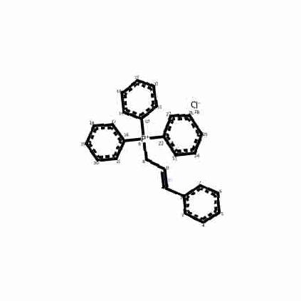 C(=C\c1ccccc1)/C[P+](c1ccccc1)(c1ccccc1)c1ccccc1.[Cl-]